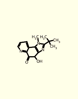 Cn1c(C(C)(C)C)nc2c1-c1cccnc1C(=O)C2O